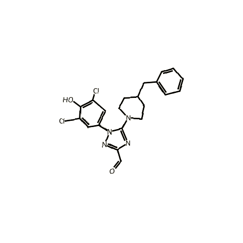 O=Cc1nc(N2CCC(Cc3ccccc3)CC2)n(-c2cc(Cl)c(O)c(Cl)c2)n1